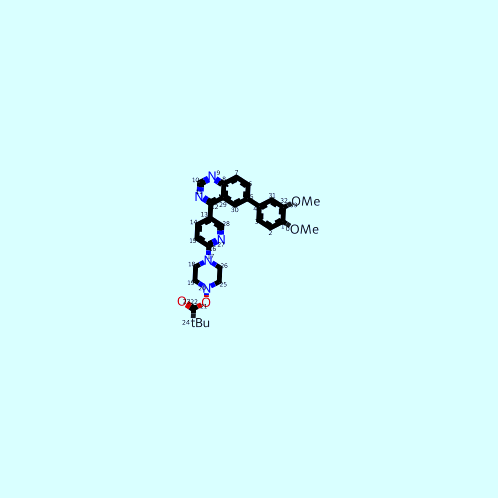 COc1ccc(-c2ccc3ncnc(-c4ccc(N5CCN(OC(=O)C(C)(C)C)CC5)nc4)c3c2)cc1OC